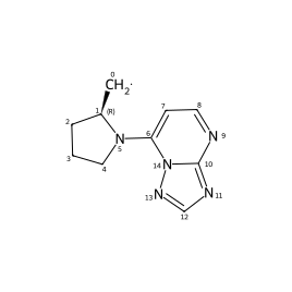 [CH2][C@@H]1CCCN1c1ccnc2ncnn12